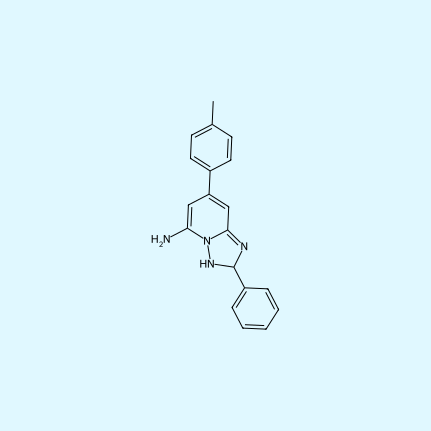 Cc1ccc(C2=CC3=NC(c4ccccc4)NN3C(N)=C2)cc1